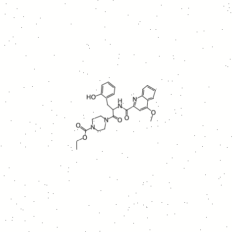 CCOC(=O)N1CCN(C(=O)C(Cc2ccccc2O)NC(=O)c2cc(OC)c3ccccc3n2)CC1